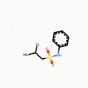 CCCCC(CC)CS(=O)(=O)Nc1ccccc1